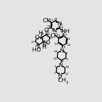 CN1CCN(C2CCN(c3ccc(Nc4ncc(Cl)c(O[C@@H]5CO[C@H]6[C@@H]5OC[C@H]6O)n4)c(Cl)c3)CC2)CC1